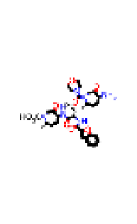 CC(C)C[C@H](NC(=O)c1cc2ccccc2o1)C(=O)N[C@H]1CC[C@@H](C)N(C(=O)O)CC1=O.C[C@@H]1CC[C@H](N)C(=O)CN1C(=O)N1CCOCC1